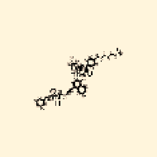 CN(C)CCCCCCc1ccc(NC(=O)[C@H](Cc2ccc(C#CCCNC(=O)OCc3ccccc3)c3ccccc23)NC(=O)OC(C)(C)C)cc1